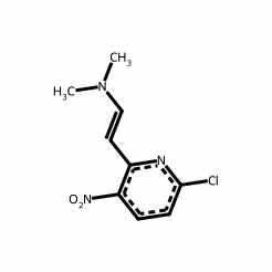 CN(C)/C=C/c1nc(Cl)ccc1[N+](=O)[O-]